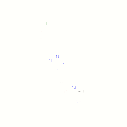 Cc1cc(NC2=NC=CN3CC(Cc4ccc(OC(F)F)cc4)N=C23)ccc1C(=O)N[C@@H](C)CN